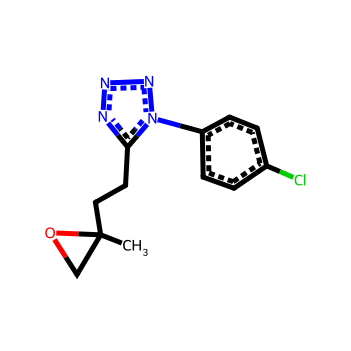 CC1(CCc2nnnn2-c2ccc(Cl)cc2)CO1